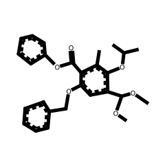 COC(OC)c1cc(OCc2ccccc2)c(C(=O)Oc2ccccc2)c(C)c1OC(C)C